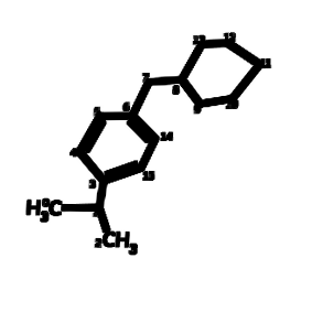 CC(C)c1ccc(CC2CCCCC2)cc1